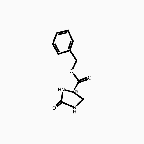 O=C1NC[C@H](C(=O)OCc2ccccc2)N1